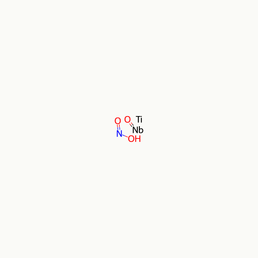 O=NO.[O]=[Nb].[Ti]